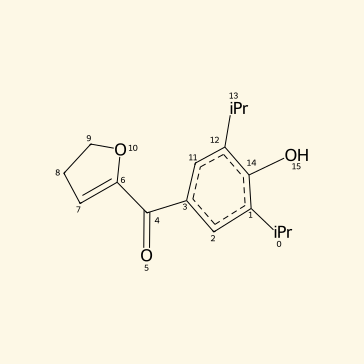 CC(C)c1cc(C(=O)C2=CCCO2)cc(C(C)C)c1O